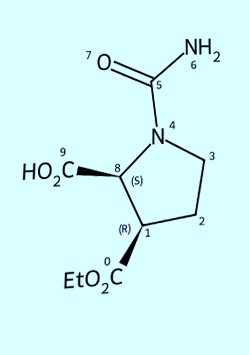 CCOC(=O)[C@@H]1CCN(C(N)=O)[C@@H]1C(=O)O